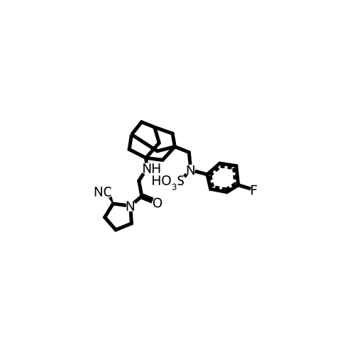 N#C[C@@H]1CCCN1C(=O)CNC12CC3CC(CC(CN(c4ccc(F)cc4)S(=O)(=O)O)(C3)C1)C2